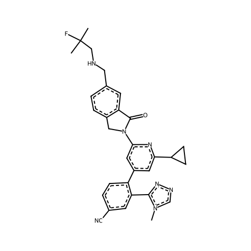 Cn1cnnc1-c1cc(C#N)ccc1-c1cc(C2CC2)nc(N2Cc3ccc(CNCC(C)(C)F)cc3C2=O)c1